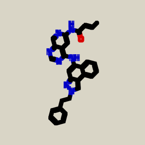 CC=CC(=O)Nc1cc2c(Nc3cc4nn(CCc5ccccc5)cc4c4ccccc34)ncnc2cn1